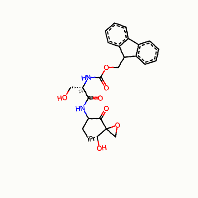 CC(C)CC(NC(=O)[C@H](CO)NC(=O)OCC1c2ccccc2-c2ccccc21)C(=O)C1(CO)CO1